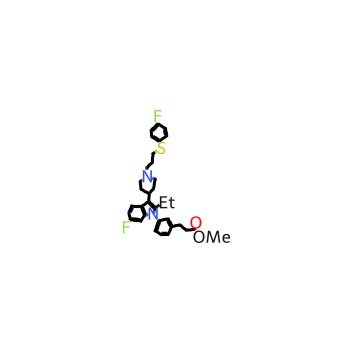 CCc1c(C2CCN(CCCSc3ccc(F)cc3)CC2)c2ccc(F)cc2n1-c1cccc(CCC(=O)OC)c1